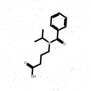 CC(C)N(CCCC(=O)O)C(=O)c1ccccc1